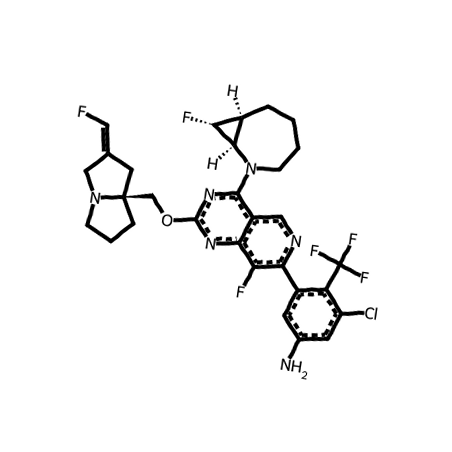 Nc1cc(Cl)c(C(F)(F)F)c(-c2ncc3c(N4CCCC[C@@H]5[C@@H](F)[C@@H]54)nc(OC[C@@]45CCCN4C/C(=C\F)C5)nc3c2F)c1